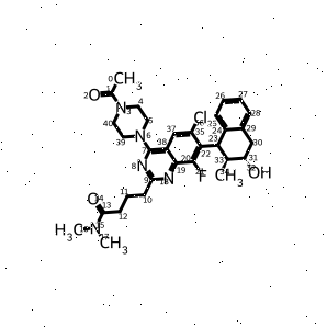 CC(=O)N1CCN(c2nc(CCCC(=O)N(C)C)nc3c(F)c(C4c5ccccc5C[C@H](O)[C@H]4C)c(Cl)cc23)CC1